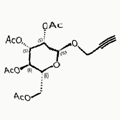 C#CCO[C@H]1O[C@H](COC(C)=O)[C@@H](OC(C)=O)[C@H](OC(C)=O)[C@@H]1OC(C)=O